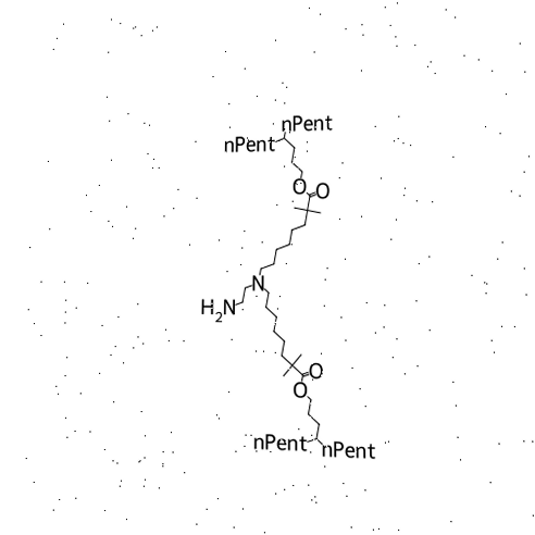 CCCCCC(CCCCC)CCCOC(=O)C(C)(C)CCCCCCN(CCN)CCCCCCC(C)(C)C(=O)OCCCC(CCCCC)CCCCC